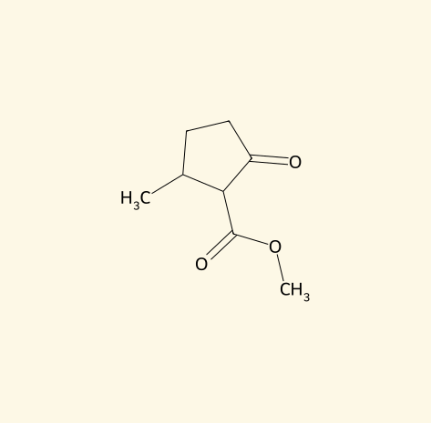 COC(=O)C1C(=O)CCC1C